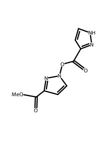 COC(=O)c1ccn(OC(=O)c2cc[nH]n2)n1